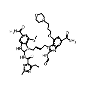 CCc1nc(C)sc1C(=O)NC1Nc2cc(C(N)=O)cc(SC)c2N1C/C=C/Cn1c(NC=O)nc2cc(C(N)=O)cc(OCCCN3CCOCC3)c21